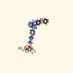 CC(C)(C)OC(=O)N1CC(N2CC(N3CCC(n4nc(-c5ccc(Oc6ccccc6)cc5)c5c(N)ncnc54)CC3)C2)C1